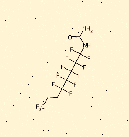 NC(=O)NC(F)(F)C(F)(F)C(F)(F)C(F)(F)C(F)(F)CCC(F)(F)F